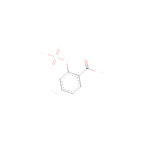 O=C(O)c1ccccc1OS(=O)(=O)O.[Ag]